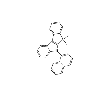 CC1(C)c2ccccc2-c2c1n(-c1cccc3ccccc13)c1ccccc21